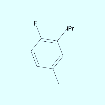 Cc1ccc(F)c(C(C)C)c1